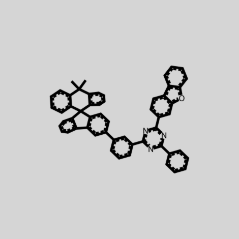 CC1(C)c2ccccc2C2(c3ccccc3-c3cc(-c4cccc(-c5nc(-c6ccccc6)nc(-c6ccc7c(c6)oc6ccccc67)n5)c4)ccc32)c2ccccc21